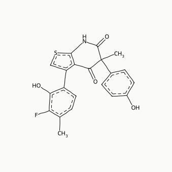 Cc1ccc(-c2csc3c2C(=O)C(C)(c2ccc(O)cc2)C(=O)N3)c(O)c1F